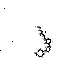 CN1CCCN(c2cncc(-c3cccc(C=CC(=O)NCCO)c3)n2)CC1